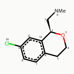 CNC[C@H]1OCCc2ccc(Cl)cc21